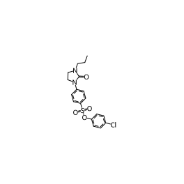 CCCN1CCN(c2ccc(S(=O)(=O)Oc3ccc(Cl)cc3)cc2)C1=O